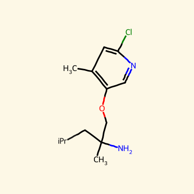 Cc1cc(Cl)ncc1OCC(C)(N)CC(C)C